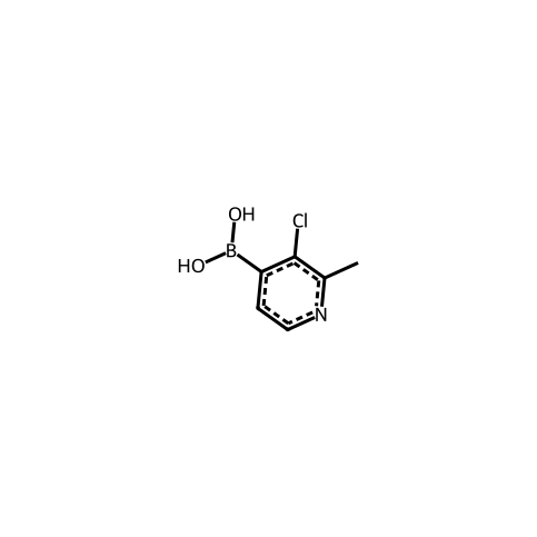 Cc1nccc(B(O)O)c1Cl